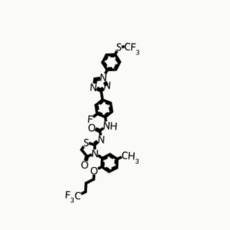 Cc1ccc(OCCCC(F)(F)F)c(N2C(=O)CSC2=NC(=O)Nc2ccc(-c3ncn(-c4ccc(SC(F)(F)F)cc4)n3)cc2F)c1